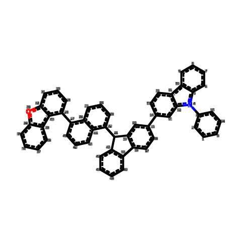 c1ccc(-n2c3ccccc3c3ccc(-c4ccc5c(c4)C(c4cccc6c(-c7cccc8oc9ccccc9c78)cccc46)c4ccccc4-5)cc32)cc1